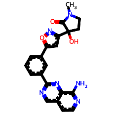 CN1CCC(O)(c2cc(-c3cccc(-c4ncc5ccnc(N)c5n4)c3)on2)C1=O